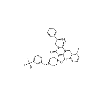 N[C@@H](Cn1c(=O)c2c(n(Cc3c(F)cccc3F)c1=O)COC21CCN(Cc2cccc(C(F)(F)F)c2)CC1)c1ccccc1